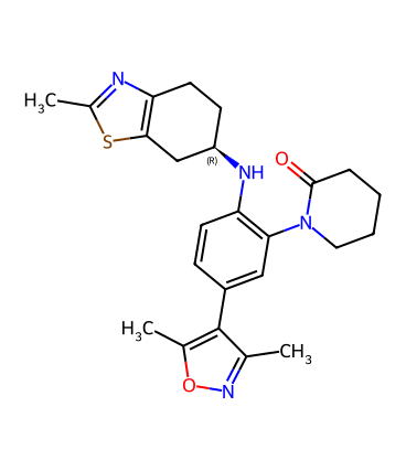 Cc1nc2c(s1)C[C@H](Nc1ccc(-c3c(C)noc3C)cc1N1CCCCC1=O)CC2